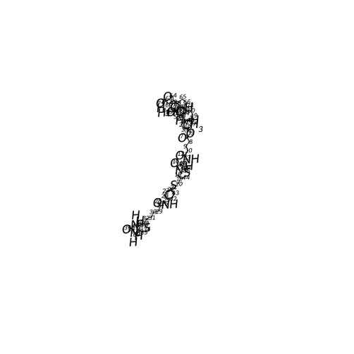 C[C@]12CC[C@H](OC(=O)CCCC(=O)N[C@H]3C(=O)N4C=C(CSc5ccc(NC(=O)CCCC[C@H]6SC[C@H]7NC(=O)N[C@H]76)cc5)CS[C@@H]34)C[C@H]1CC[C@@H]1[C@@H]2C[C@@H](O)[C@]2(C)[C@@H](C3=CC(=O)OC3)CC[C@]12O